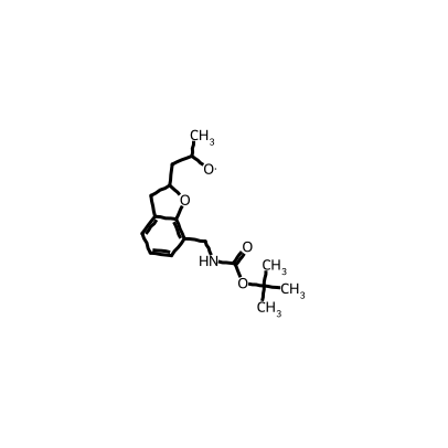 CC([O])CC1Cc2cccc(CNC(=O)OC(C)(C)C)c2O1